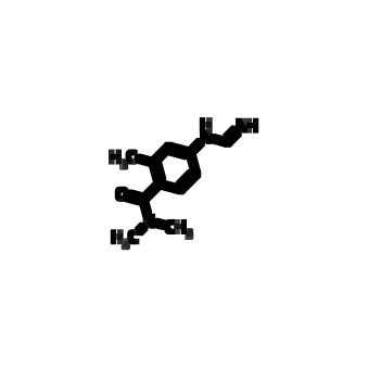 Cc1cc(NC=N)ccc1C(=O)N(C)C